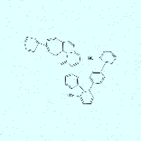 C=C1C(c2ccc3[nH]c4cccc(-c5ccc(-c6ccccc6C#N)cc5)c4c3c2)=CC=C2C=CC3=C(CC=C(c4ccccc4)C=C3)C12